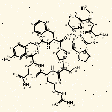 CC[C@H](C)[C@H](NC(=O)[C@@H]1CCCN1C(=O)[C@@H]1CCCN1C(=O)[C@H](Cc1ccccc1)NC(=O)[C@H](Cc1ccc(O)cc1)NC(=O)[C@H](CCC(N)=O)NC(=O)[C@H](CCCNC(N)=O)NC(=O)[C@@H](N)CS)C(=O)N[C@@H](CC(C)C)C(=O)N[C@@H](CS)C(=O)O